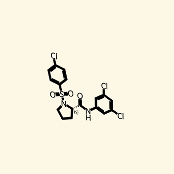 O=C(Nc1cc(Cl)cc(Cl)c1)[C@@H]1CCCN1S(=O)(=O)c1ccc(Cl)cc1